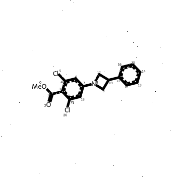 COC(=O)c1c(Cl)cc(N2CC(c3ccccc3)C2)cc1Cl